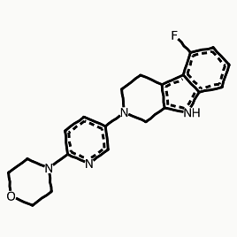 Fc1cccc2[nH]c3c(c12)CCN(c1ccc(N2CCOCC2)nc1)C3